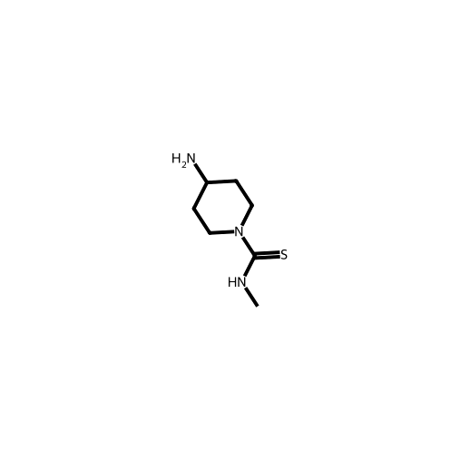 CNC(=S)N1CCC(N)CC1